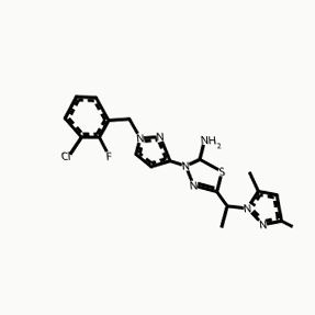 Cc1cc(C)n(C(C)C2=NN(c3ccn(Cc4cccc(Cl)c4F)n3)C(N)S2)n1